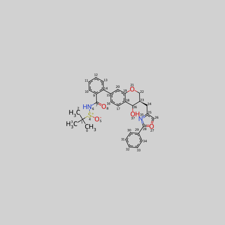 CC(C)(C)[S+]([O-])NC(=O)c1ccccc1-c1ccc2c(c1)OC[C@@H](Cc1coc(-c3ccccc3)n1)C2O